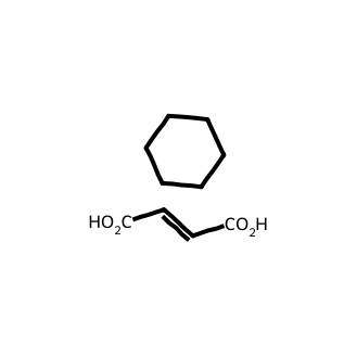 C1CCCCC1.O=C(O)C=CC(=O)O